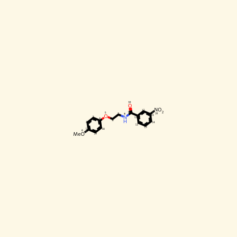 COc1ccc(OCCNC(=O)c2cccc([N+](=O)[O-])c2)cc1